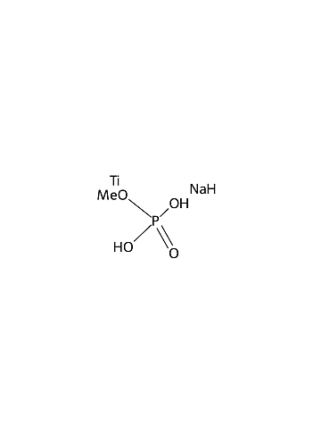 COP(=O)(O)O.[NaH].[Ti]